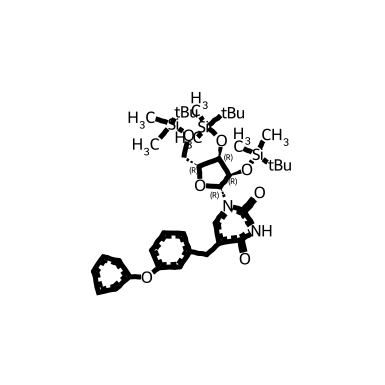 CC(C)(C)[Si](C)(C)OC[C@H]1O[C@@H](n2cc(Cc3cccc(Oc4ccccc4)c3)c(=O)[nH]c2=O)[C@H](O[Si](C)(C)C(C)(C)C)[C@@H]1O[Si](C)(C)C(C)(C)C